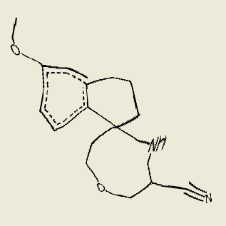 COc1ccc2c(c1)CCC21COCC(C#N)N1